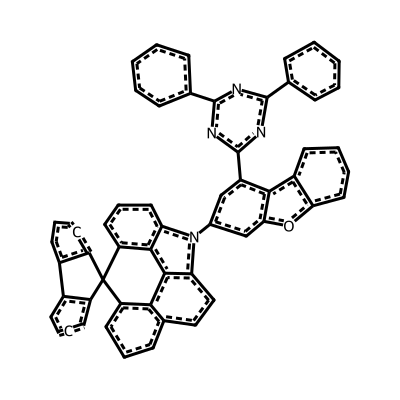 c1ccc(-c2nc(-c3ccccc3)nc(-c3cc(-n4c5cccc6c5c5c7c(cccc7ccc54)C64c5ccccc5-c5ccccc54)cc4oc5ccccc5c34)n2)cc1